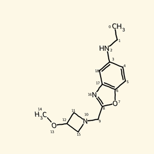 CCNc1ccc2oc(CN3CC(OC)C3)nc2c1